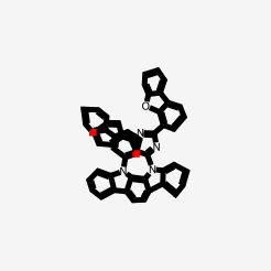 c1ccc(-c2cccc(-n3c4ccccc4c4ccc5c6ccccc6n(-c6cc(-c7ccccc7)nc(-c7cccc8c7oc7ccccc78)n6)c5c43)c2)cc1